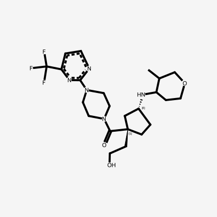 CC1COCCC1N[C@@H]1CC[C@](CCO)(C(=O)N2CCN(c3nccc(C(F)(F)F)n3)CC2)C1